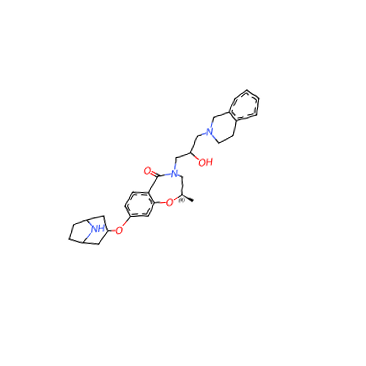 C[C@@H]1CN(CC(O)CN2CCc3ccccc3C2)C(=O)c2ccc(OC3CC4CCC(C3)N4)cc2O1